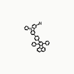 N#Cc1ccc2c(c1)c1cc(-c3ccc(-c4cc(-c5ccccc5)c5c(c4-c4ccccc4)-c4cccc6cccc-5c46)cc3)ccc1n2-c1ccccc1